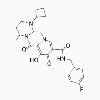 CC1CCN(C2CCC2)C2Cn3cc(C(=O)NCc4ccc(F)cc4)c(=O)c(O)c3C(=O)N12